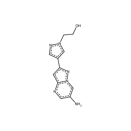 Nc1cnc2cc(-c3cnn(CCO)c3)nn2c1